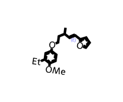 CCc1cc(OCCC(C)/C=C/c2ccco2)ccc1OC